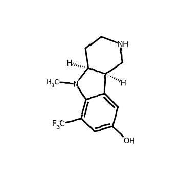 CN1c2c(cc(O)cc2C(F)(F)F)[C@@H]2CNCC[C@@H]21